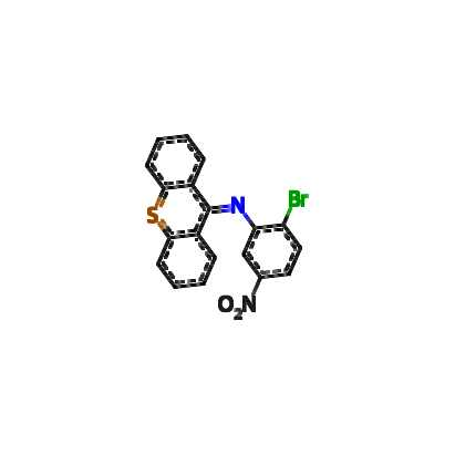 O=[N+]([O-])c1ccc(Br)c(N=c2c3ccccc3sc3ccccc23)c1